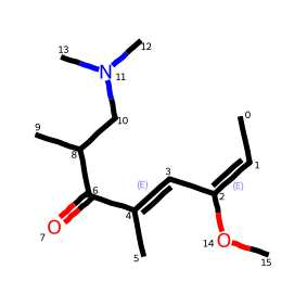 C/C=C(\C=C(/C)C(=O)C(C)CN(C)C)OC